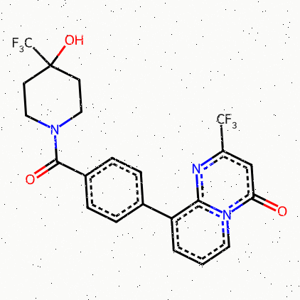 O=C(c1ccc(-c2cccn3c(=O)cc(C(F)(F)F)nc23)cc1)N1CCC(O)(C(F)(F)F)CC1